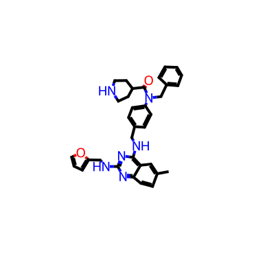 Cc1ccc2nc(NCc3ccco3)nc(NCc3ccc(N(Cc4ccccc4)C(=O)C4CCNCC4)cc3)c2c1